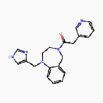 O=C(Cc1cccnc1)N1CCN(Cc2c[nH]cn2)c2ccccc2C1